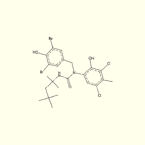 Cc1c(Cl)cc(N(Cc2cc(Br)c(O)c(Br)c2)C(=O)NC(C)(C)CC(C)(C)C)c(O)c1Cl